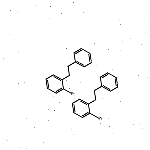 CC(C)c1ccccc1CCc1ccccc1.CCc1ccccc1CCc1ccccc1